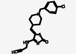 C#CCNC1=NC(=O)S/C1=C\C1CCN(Cc2ccc(Cl)cc2)CC1